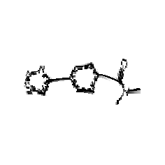 CN(C)C(=O)c1ccc(-c2csnn2)cc1